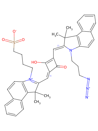 CC1(C)C(/C=C2/C(=O)C(/C=C3\N(CCCN=[N+]=[N-])c4ccc5ccccc5c4C3(C)C)=C2O)=[N+](CCCCS(=O)(=O)[O-])c2ccc3ccccc3c21